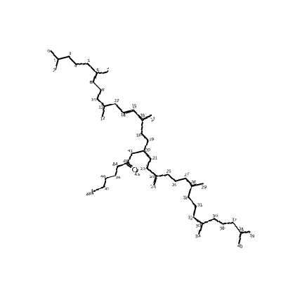 CC(C)CCCC(C)CCCC(C)CCCC(C)CCC(CCC(C)CCCC(C)CCCC(C)CCCC(C)C)CC(=O)CCCCI